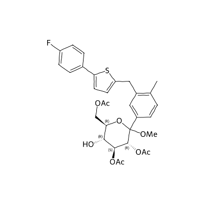 COC1(c2ccc(C)c(Cc3ccc(-c4ccc(F)cc4)s3)c2)O[C@H](COC(C)=O)[C@@H](O)[C@H](OC(C)=O)[C@H]1OC(C)=O